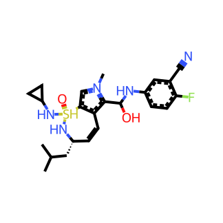 CC(C)C[C@H]1C=Cc2c(cn(C)c2C(O)Nc2ccc(F)c(C#N)c2)[SH](=O)(NC2CC2)N1